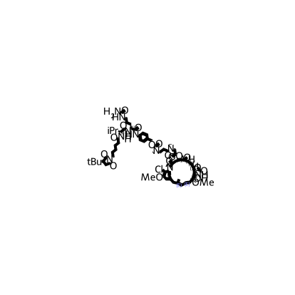 COc1cc2cc(c1Cl)N(C)C(=O)C[C@H](OC(=O)CN(C)C(=O)CCN(C)C(=O)OCc1ccc(NC(=O)[C@H](CCCNC(N)=O)NC(=O)[C@@H](NC(=O)CCCCCN3C(=O)CC(C(C)(C)C)C3=O)C(C)C)cc1)[C@]1(C)O[C@H]1[C@H](C)[C@@H]1C[C@@](O)(NC(=O)O1)[C@H](OC)/C=C/C=C(\C)C2